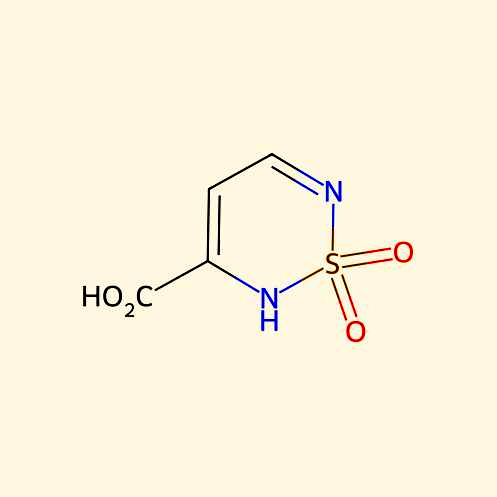 O=C(O)C1=CC=NS(=O)(=O)N1